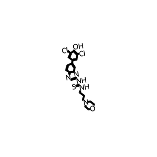 Oc1c(Cl)cc(-c2ccc3ncc(NC(=S)NCCCN4CCOCC4)nc3c2)cc1Cl